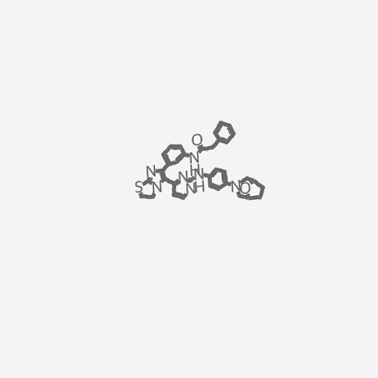 O=C(Cc1ccccc1)Nc1cccc(-c2nc3n(c2-c2ccnc(Nc4ccc(N5CC6CCC(C5)O6)cc4)n2)CCS3)c1